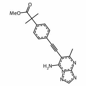 COC(=O)C(C)(C)c1ccc(C#Cc2c(C)nc3ncnn3c2N)cc1